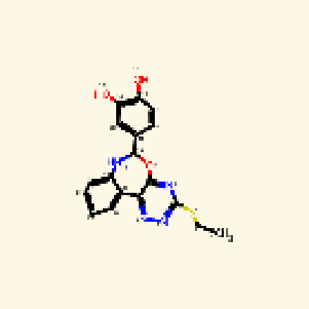 CCSc1nnc2c(n1)OC(c1ccc(O)c(O)c1)Nc1ccccc1-2